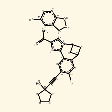 NC(=O)c1nc2n(c1[C@H]1OOc3ncc(F)cc31)C1CC(C1)c1cc(F)c(C#CC3(O)CCCC3)cc1-2